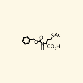 CC(=O)SCCC(NC(=O)OCc1ccccc1)C(=O)O